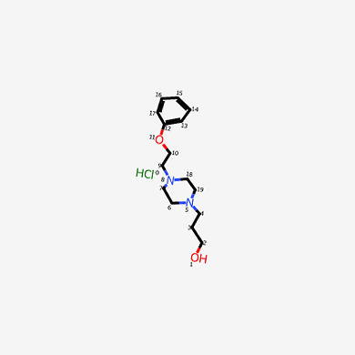 Cl.OCCCN1CCN(CCOc2ccccc2)CC1